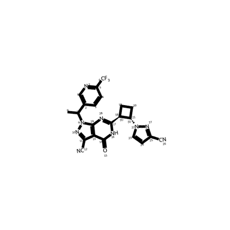 CC(c1ccc(C(F)(F)F)nc1)n1nc(C#N)c2c(=O)[nH]c([C@H]3CC[C@@H]3n3ccc(C#N)n3)nc21